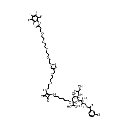 O=C(CO)N[C@H]1[C@H]([C@H](O)[C@H](O)CNC(=O)c2cccc(Cl)c2)O[C@@](OCCCCCCNc2c(NCCOCCOCc3cn(CCOCCOCCOCCOCCC(=O)Oc4c(F)c(F)c(F)c(F)c4F)nn3)c(=O)c2=O)(C(=O)O)C[C@@H]1O